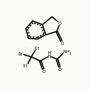 CCC(Br)(CC)C(=O)NC(N)=O.O=C1OCc2ccccc21